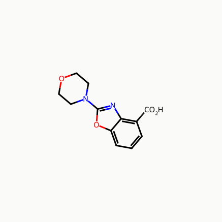 O=C(O)c1cccc2oc(N3CCOCC3)nc12